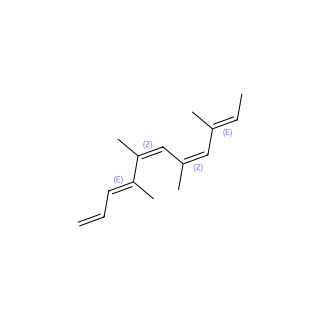 C=C/C=C(C)/C(C)=C\C(C)=C/C(C)=C/C